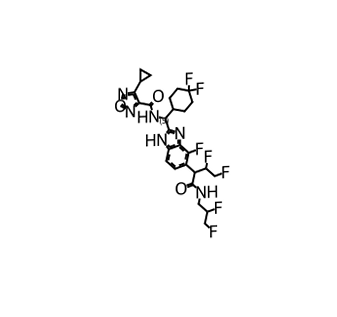 O=C(N[C@H](c1nc2c(F)c(C(C(=O)NCC(F)CF)C(F)CF)ccc2[nH]1)C1CCC(F)(F)CC1)c1nonc1C1CC1